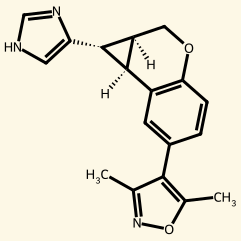 Cc1noc(C)c1-c1ccc2c(c1)[C@@H]1[C@H](CO2)[C@H]1c1c[nH]cn1